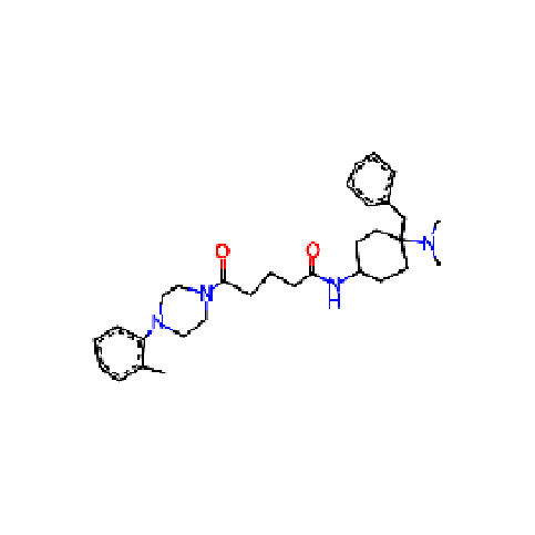 Cc1ccccc1N1CCN(C(=O)CCCC(=O)NC2CCC(Cc3ccccc3)(N(C)C)CC2)CC1